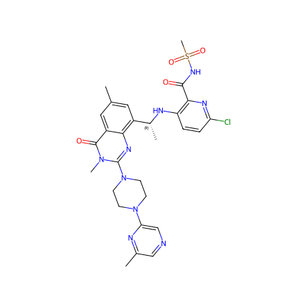 Cc1cc([C@@H](C)Nc2ccc(Cl)nc2C(=O)NS(C)(=O)=O)c2nc(N3CCN(c4cncc(C)n4)CC3)n(C)c(=O)c2c1